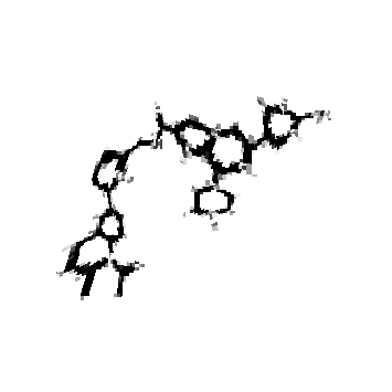 CC(=O)N1c2ccc(-c3ccc(CNC(=O)c4cn5cc(-c6cnc(N)nc6)nc(N6CCOCC6)c5n4)s3)cc2CCC1C